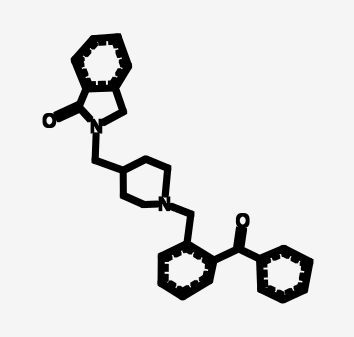 O=C(c1ccccc1)c1ccccc1CN1CCC(CN2Cc3ccccc3C2=O)CC1